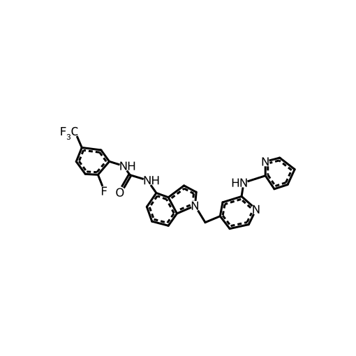 O=C(Nc1cc(C(F)(F)F)ccc1F)Nc1cccc2c1ccn2Cc1ccnc(Nc2ccccn2)c1